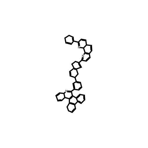 C1=CC2N=C(c3cccc(C4C=CC5=C(C=C(c6ccc7c(n6)C6N=C(C8=CCCC=C8)C=CC6C=C7)CC5)C4)c3)c3c(c4c(c5ccccc35)C=CCC4)C2C=C1